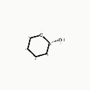 O[C@@H]1CCCCO1